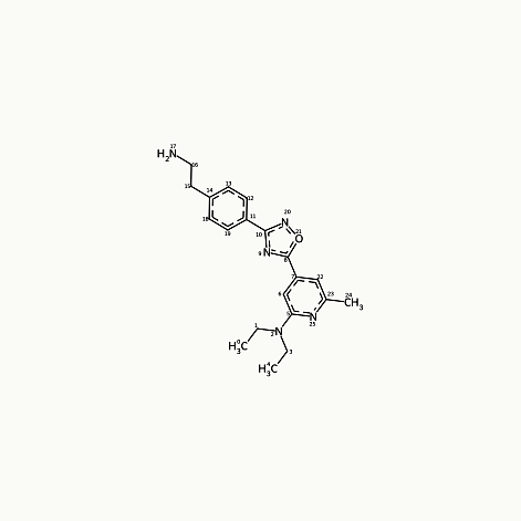 CCN(CC)c1cc(-c2nc(-c3ccc(CCN)cc3)no2)cc(C)n1